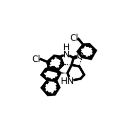 O=C1Nc2cc(Cl)ccc2[C@]12[C@@H](c1cccc3ccccc13)NCC[C@H]2c1cccc(Cl)c1